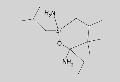 CCC1(N)O[Si](N)(CC(C)C)CC(C)C1(C)C